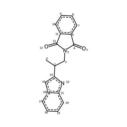 CC(CN1C(=O)c2ccccc2C1=O)c1cn2ccccc2n1